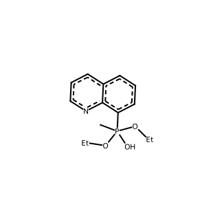 CCOP(C)(O)(OCC)c1cccc2cccnc12